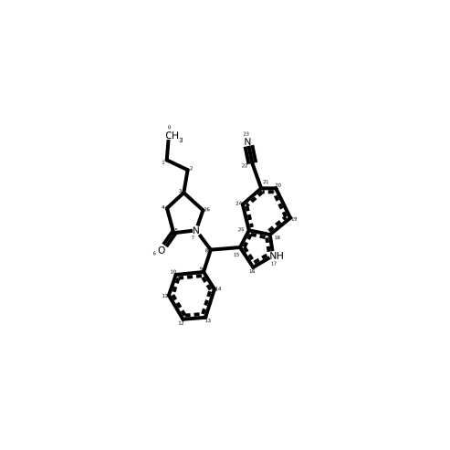 CCCC1CC(=O)N(C(c2ccccc2)c2c[nH]c3ccc(C#N)cc23)C1